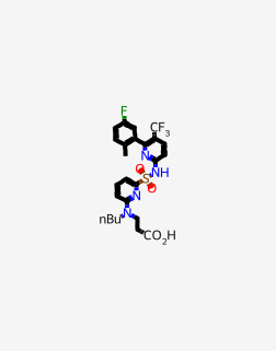 CCCCN(CCC(=O)O)c1cccc(S(=O)(=O)Nc2ccc(C(F)(F)F)c(-c3cc(F)ccc3C)n2)n1